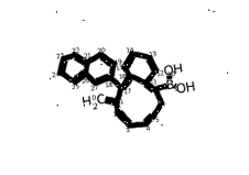 C=C1/C=C\C=C/C/C(B(O)O)=c2/cccc/c2=C/1c1ccc2ccccc2c1